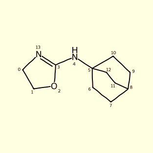 C1COC(NC23CCC(CC2)CC3)=N1